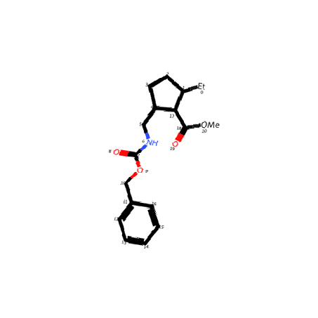 CCC1CCC(CNC(=O)OCc2ccccc2)C1C(=O)OC